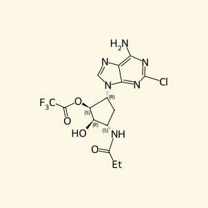 CCC(=O)N[C@H]1C[C@@H](n2cnc3c(N)nc(Cl)nc32)[C@H](OC(=O)C(F)(F)F)[C@@H]1O